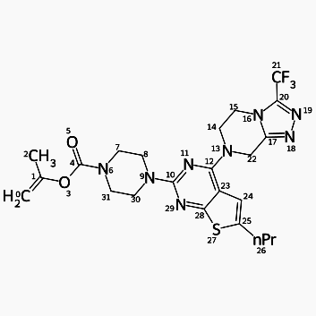 C=C(C)OC(=O)N1CCN(c2nc(N3CCn4c(nnc4C(F)(F)F)C3)c3cc(CCC)sc3n2)CC1